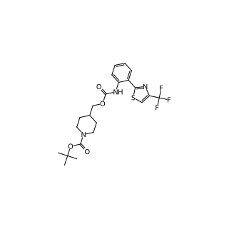 CC(C)(C)OC(=O)N1CCC(COC(=O)Nc2ccccc2-c2nc(C(F)(F)F)cs2)CC1